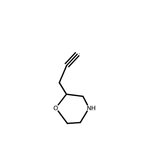 [C]#CCC1CNCCO1